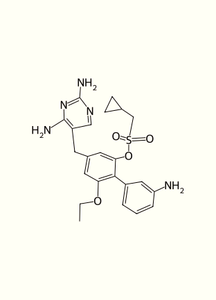 CCOc1cc(Cc2cnc(N)nc2N)cc(OS(=O)(=O)CC2CC2)c1-c1cccc(N)c1